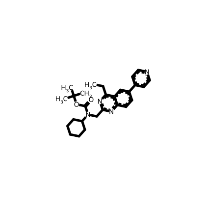 CCc1nc(CN(C(=O)OC(C)(C)C)C2CCCCC2)nc2ccc(-c3ccncc3)cc12